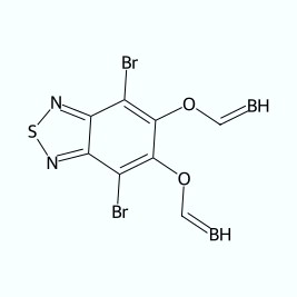 B=COc1c(OC=B)c(Br)c2nsnc2c1Br